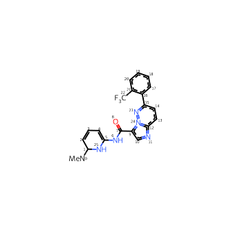 CNC1C=CC=C(NC(=O)c2cnc3ccc(-c4ccccc4C(F)(F)F)nn23)N1